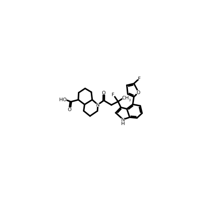 CC(F)(CC(=O)N1CCCC2C(C(=O)O)CCCC21)c1c[nH]c2cccc(-c3ccc(F)o3)c12